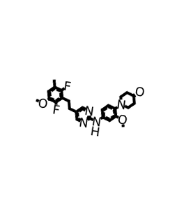 COc1cc(Nc2ncc(CCc3c(F)c(C)cc(OC)c3F)cn2)ccc1N1CCC(=O)CC1